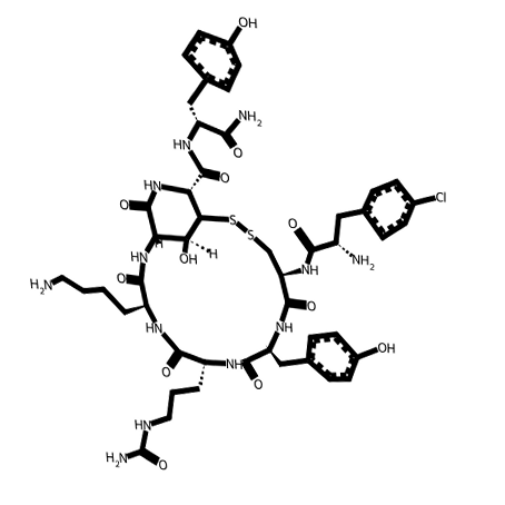 NCCCC[C@@H]1NC(=O)[C@@H](CCCNC(N)=O)NC(=O)[C@H](Cc2ccc(O)cc2)NC(=O)[C@H](NC(=O)[C@@H](N)Cc2ccc(Cl)cc2)CSSC2[C@@H](C(=O)N[C@H](Cc3ccc(O)cc3)C(N)=O)NC(=O)[C@@H](NC1=O)[C@@H]2O